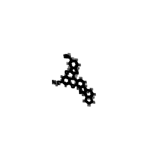 Cc1cc2c3c(c1)Oc1c(ccc4c1sc1c5c(ccc14)CCC5)B3c1sc3ccc(C(C)(C)C)cc3c1O2